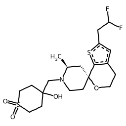 C[C@H]1C[C@@]2(CCN1CC1(O)CCS(=O)(=O)CC1)OCCc1cc(CC(F)F)sc12